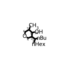 CCCCCCC(CCCC)C1COCC(C)C1O